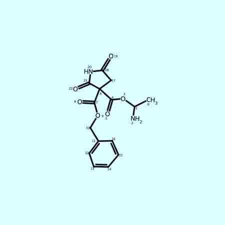 CC(N)OC(=O)C1(C(=O)OCc2ccccc2)CC(=O)NC1=O